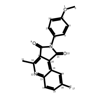 COc1ccc(N2C(=O)c3c(C)nc4ccc(F)cc4c3C2=O)cc1